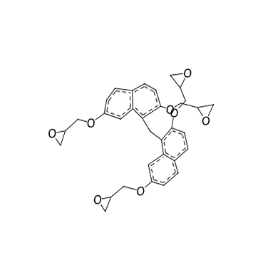 c1cc2ccc(OCC3CO3)c(Cc3c(OCC4CO4)ccc4ccc(OCC5CO5)cc34)c2cc1OCC1CO1